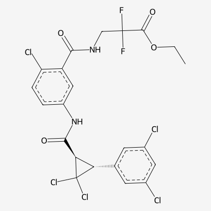 CCOC(=O)C(F)(F)CNC(=O)c1cc(NC(=O)[C@H]2[C@H](c3cc(Cl)cc(Cl)c3)C2(Cl)Cl)ccc1Cl